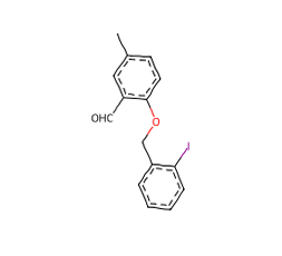 Cc1ccc(OCc2ccccc2I)c(C=O)c1